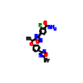 CCC(Oc1ccc(-c2noc(C(C)C)n2)cc1)c1nc(-c2ccc(C(N)=O)c(F)c2)no1